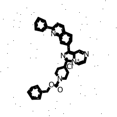 O=C(OCc1ccccc1)N1CCC(C2=NC(c3ccc4ccc(-c5ccccc5)nc4c3)=C3C=NC=C[N+]23Cl)CC1